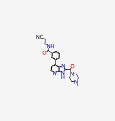 CN1CCN(C(=O)c2nc3c(-c4cccc(C(=O)NCCC#N)c4)ccnc3[nH]2)CC1